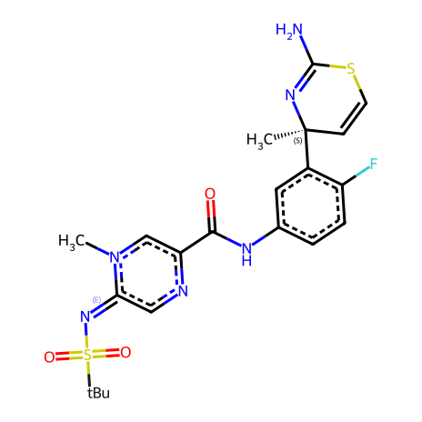 Cn1cc(C(=O)Nc2ccc(F)c([C@]3(C)C=CSC(N)=N3)c2)nc/c1=N\S(=O)(=O)C(C)(C)C